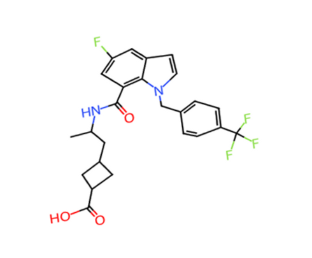 CC(CC1CC(C(=O)O)C1)NC(=O)c1cc(F)cc2ccn(Cc3ccc(C(F)(F)F)cc3)c12